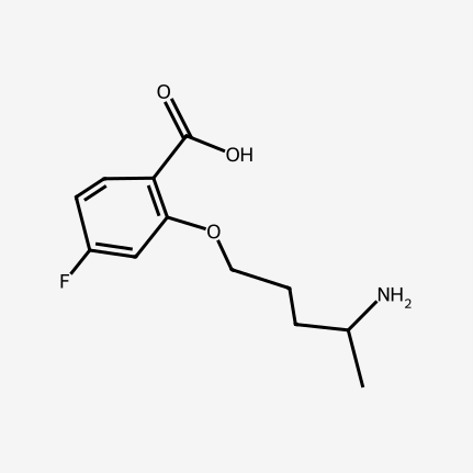 CC(N)CCCOc1cc(F)ccc1C(=O)O